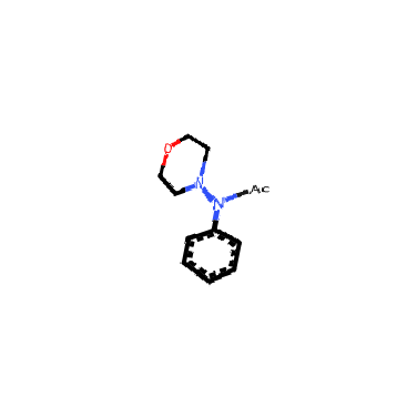 CC(=O)N(c1cc[c]cc1)N1CCOCC1